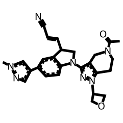 CC(=O)N1CCc2c(c(N3CC(/C=C/C#N)c4cc(-c5cnn(C)c5)ccc43)nn2C2COC2)C1